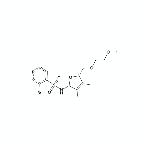 COCCOCN1OC(NS(=O)(=O)c2ccccc2Br)C(C)=C1C